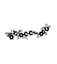 Cc1cc(Nc2ncc(Cl)c(Nc3ccccc3S(=O)(=O)C(C)C)n2)c(OC(C)C)cc1C1CCN(C2CCN(CCCNc3ccc4c(c3)C(=O)N(C3CCC(=O)NC3=O)C4=O)CC2)CC1